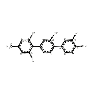 Cc1cc(F)c(-c2ccc(-c3ccc(F)c(F)c3)c(F)c2)c(F)c1